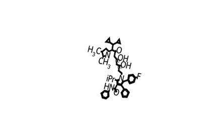 CC(C)c1c(C(=O)Nc2ccccc2)c(-c2ccccc2)c(-c2ccc(F)cc2)n1CC[C@@H](O)C[C@@H](O)CC(=O)C(C1=NC(C)C(C)C1)C(C1CC1)C1CC1